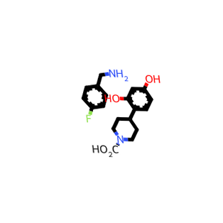 NCc1ccc(F)cc1.O=C(O)N1CCC(c2ccc(O)cc2O)CC1